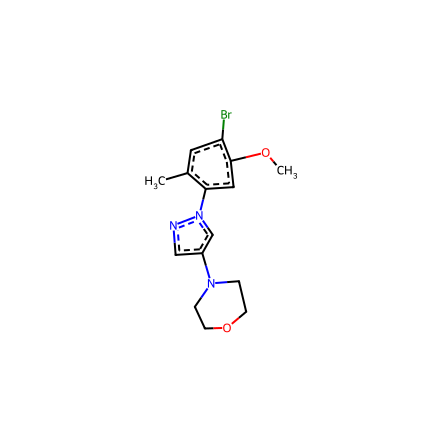 COc1cc(-n2cc(N3CCOCC3)cn2)c(C)cc1Br